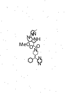 COc1cnc(-n2ccc(C)n2)c2[nH]cc(C(=O)C(=O)N3CCC(=C(c4ccccc4)c4cnccn4)CC3)c12